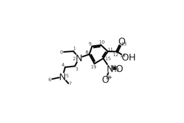 CCN(CCN(C)C)c1ccc(C(=O)O)c([N+](=O)[O-])c1